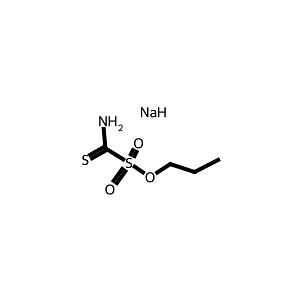 CCCOS(=O)(=O)C(N)=S.[NaH]